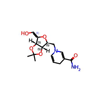 CC1(C)O[C@H]2[C@H](CN3C=CCC(C(N)=O)=C3)O/C(=C/O)[C@H]2O1